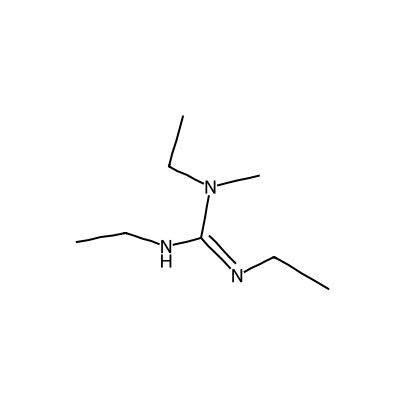 CC/N=C(/NCC)N(C)CC